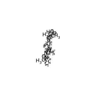 C[C@@H]1c2ccccc2CCN1C(=O)c1cc(C2CC2)n2nc(-c3ccc(N4CC[C@H](C(C)(C)C(=O)O)C4)cc3F)cc2n1